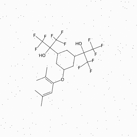 CC(C)=CC(OC1CC(C(O)(C(F)(F)F)C(F)(F)F)CC(C(O)(C(F)(F)F)C(F)(F)F)C1)=C(C)C